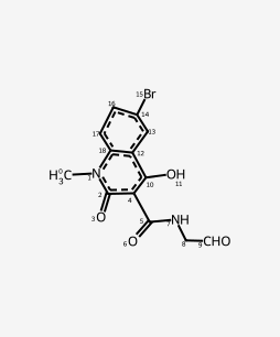 Cn1c(=O)c(C(=O)NCC=O)c(O)c2cc(Br)ccc21